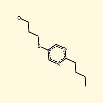 CCCCc1ncc(SCCC[O])cn1